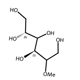 COC(CO)[C@@H](O)C(O)[C@H](O)CO